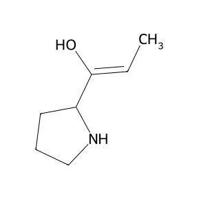 CC=C(O)C1CCCN1